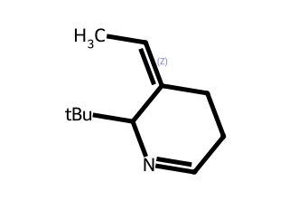 C/C=C1/CCC=NC1C(C)(C)C